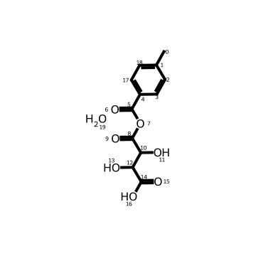 Cc1ccc(C(=O)OC(=O)C(O)C(O)C(=O)O)cc1.O